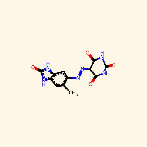 Cc1cc2[nH]c(=O)[nH]c2cc1N=NC1C(=O)NC(=O)NC1=O